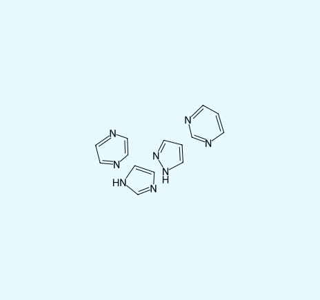 c1c[nH]cn1.c1cn[nH]c1.c1cnccn1.c1cncnc1